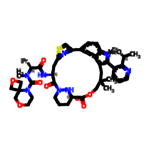 CCn1c(-c2cccnc2[C@H](C)OC)c2c3cc(ccc31)-c1csc(n1)C[C@H](NC(=O)[C@H](C(C)C)N(C)C(=O)N1CCOCC13COC3)C(=O)N1CCC[C@@](O)(N1)C(=O)OCC(C)(C)C2